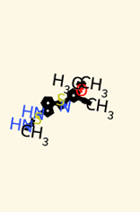 CC#Cc1cc(-c2ncc(-c3cccc4c3CCC4NSCCNC)s2)ccc1OC(C)C